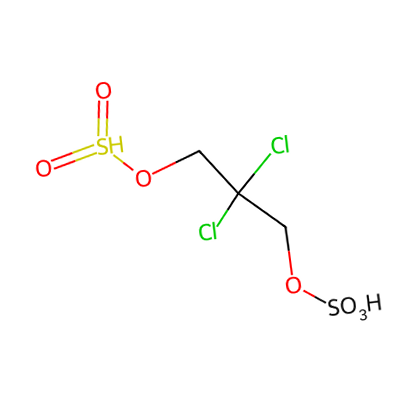 O=[SH](=O)OCC(Cl)(Cl)COS(=O)(=O)O